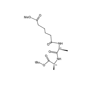 COC(=O)CCCCC(=O)N[C@@H](C)C(=O)N[C@@H](C)C(=O)OC(C)(C)C